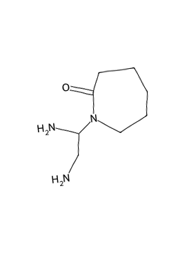 NCC(N)N1CCCCCC1=O